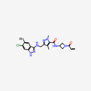 C=CC(=O)N1CC(NC(=O)c2c(C)c(CNc3n[nH]c4cc(Cl)c(C(C)(C)C)cc34)nn2C)C1